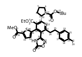 CCOC(=O)c1c([C@@H]2CCCN2C(=O)OC(C)(C)C)nc(CCc2ccc(F)cc2)c(-c2noc(=O)[nH]2)c1-c1ccc(C(=O)OC)s1